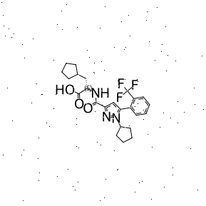 O=C(N[C@@H](CC1CCCC1)C(=O)O)c1cc(-c2ccccc2C(F)(F)F)n(C2CCCC2)n1